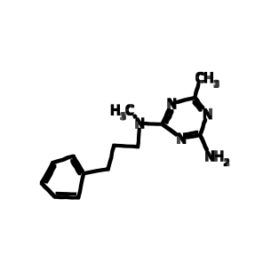 Cc1nc(N)nc(N(C)CCCc2ccccc2)n1